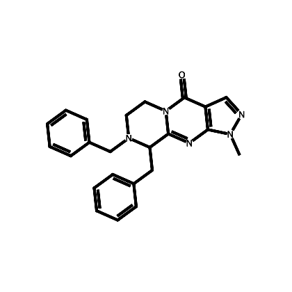 Cn1ncc2c(=O)n3c(nc21)C(Cc1ccccc1)N(Cc1ccccc1)CC3